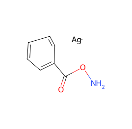 NOC(=O)c1ccccc1.[Ag]